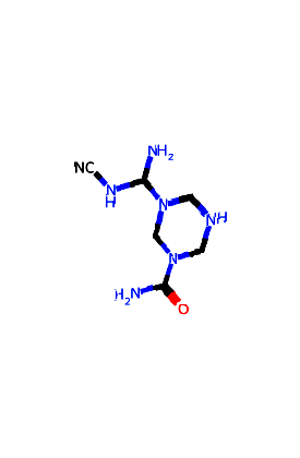 N#CNC(N)N1CNCN(C(N)=O)C1